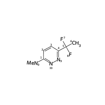 CNc1ccc(C(C)(F)F)nn1